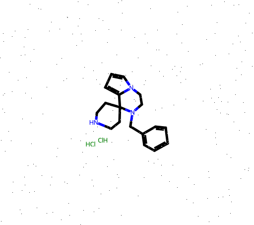 Cl.Cl.c1ccc(CN2CCn3cccc3C23CCNCC3)cc1